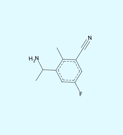 Cc1c(C#N)cc(F)cc1C(C)N